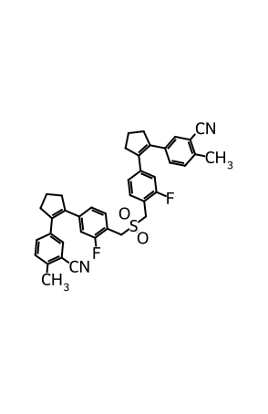 Cc1ccc(C2=C(c3ccc(CS(=O)(=O)Cc4ccc(C5=C(c6ccc(C)c(C#N)c6)CCC5)cc4F)c(F)c3)CCC2)cc1C#N